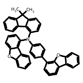 CC1(C)c2ccccc2-c2c(N(c3ccc(C4=c5oc6ccccc6c5=C=C=C4)cc3)c3cccc4oc5ccccc5c34)cccc21